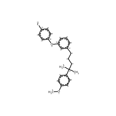 COc1ccc(C(C)(C)CCCc2cccc(Oc3ccc(F)cc3)c2)cc1